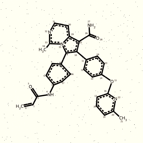 C=CC(=O)Nc1ccc(-c2c(-c3ccc(Oc4cccc(C)n4)cc3)c(C(N)=O)c3ccnc(C)n23)cc1